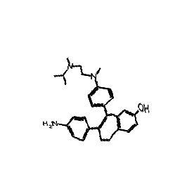 CC(C)N(C)CCN(C)c1ccc(C2=C(c3ccc(N)cc3)CCc3ccc(O)cc32)cc1